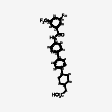 O=C(O)CC1CCC(c2ccc(-c3ccc(NC(=O)c4cc(F)cc(C(F)(F)F)c4)cn3)cc2)CC1